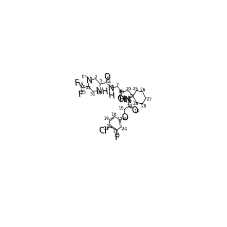 CN1CC(C(=O)NC[C@H](O)CC2(NC(=O)COc3ccc(Cl)c(F)c3)CCCCC2)NCC1C(F)F